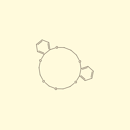 c1ccc2c(c1)OCCCOc1ccccc1OCCOCOCCO2